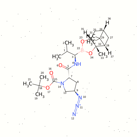 CC(C)[C@H](NC(=O)[C@@H]1C[C@@H](N=[N+]=[N-])CN1C(=O)OC(C)(C)C)B1O[C@@H]2C[C@@H]3C[C@@H](C3(C)C)[C@]2(C)O1